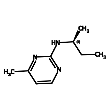 CC[C@H](C)Nc1nccc(C)n1